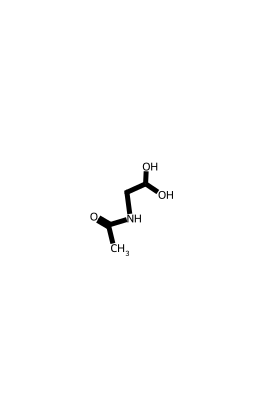 CC(=O)NCC(O)O